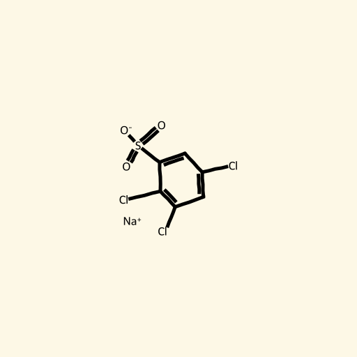 O=S(=O)([O-])c1cc(Cl)cc(Cl)c1Cl.[Na+]